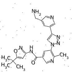 Cc1ncc(C(=O)Nc2cc(C(C)(C)C)on2)cc1-n1cc(-c2cncc(CN)c2)nn1